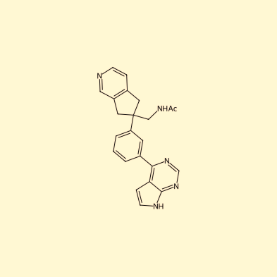 CC(=O)NCC1(c2cccc(-c3ncnc4[nH]ccc34)c2)Cc2ccncc2C1